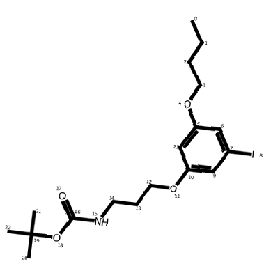 CCCCOc1cc(I)cc(OCCCNC(=O)OC(C)(C)C)c1